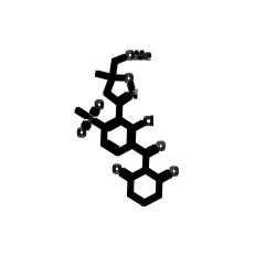 COCC1(C)CC(c2c(S(C)(=O)=O)ccc(C(=O)C3C(=O)CCCC3=O)c2Cl)=NO1